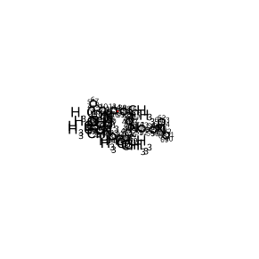 CC1(C)c2ccccc2-c2cc3c4ccccc4n(-c4ccc5c(c4)c4c6c(ccc4n5-c4cccc(CC5(C)c7cc8c9cc%10c(cc9n(-c9ccc(-c%11ccc%12c(c%11)c%11ccccc%11n%12-c%11ccccc%11)cc9)c8cc7C(C)(C)C5(C)C)C(C)(C)c5ccccc5-%10)c4)C(C)(C)C(C)(C)C6(C)C)c3cc21